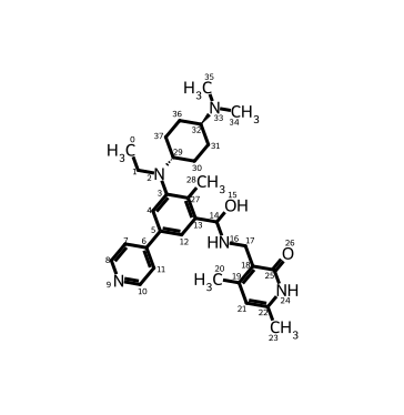 CCN(c1cc(-c2ccncc2)cc(C(O)NCc2c(C)cc(C)[nH]c2=O)c1C)[C@H]1CC[C@H](N(C)C)CC1